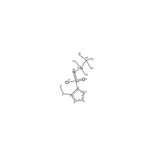 CCc1ccsc1S(=O)(Cl)=N[Si](C)(C)C(C)(C)C